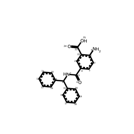 Nc1ccc(C(=O)NC(c2ccccc2)c2ccccc2)cc1C(=O)O